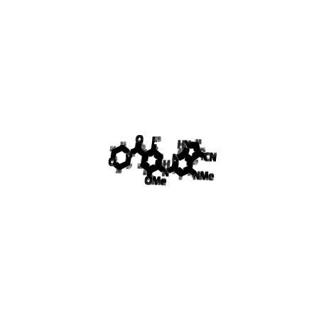 CNc1cc(Nc2cc(F)c(C(=O)N3CCOCC3)cc2OC)nc2[nH]cc(C#N)c12